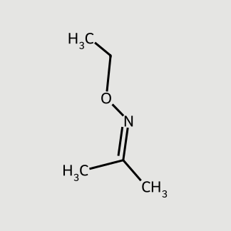 CCON=C(C)C